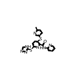 Cc1ccc(Sc2ccc(Sc3nnc[nH]3)nc2C(=O)Nc2ccccn2)cn1